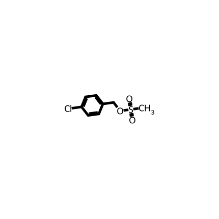 CS(=O)(=O)OCc1ccc(Cl)cc1